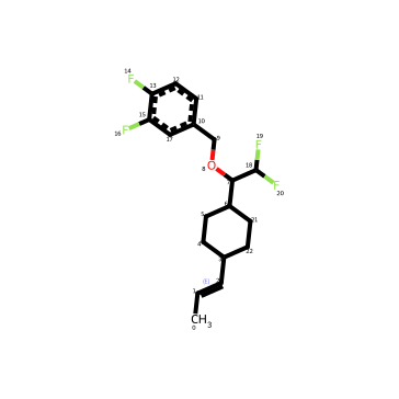 C/C=C/C1CCC(C(OCc2ccc(F)c(F)c2)C(F)F)CC1